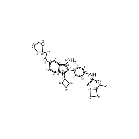 CC(OC(=O)Nc1ccc(-c2c(N)c3cc(OCC4COCO4)ccc3n2C2CCC2)cc1)C1CCC1